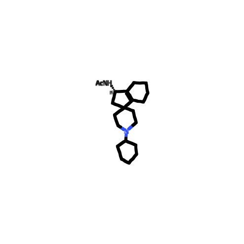 CC(=O)N[C@H]1CC2(CCN(C3CCCCC3)CC2)C2=C1CCCC2